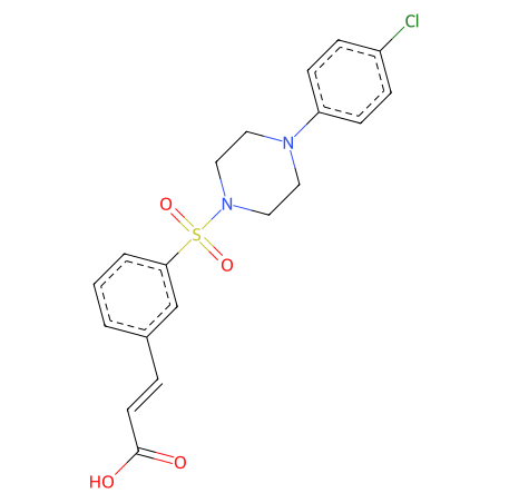 O=C(O)C=Cc1cccc(S(=O)(=O)N2CCN(c3ccc(Cl)cc3)CC2)c1